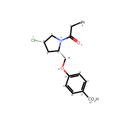 CC(C)CC(=O)N1C[C@@H](Cl)C[C@H]1COc1ccc(C(=O)O)cc1